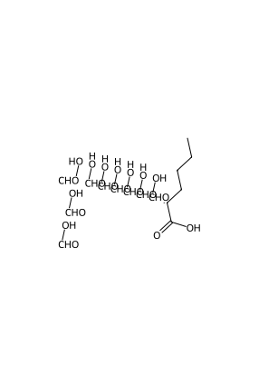 CCCC[CH]C(=O)O.O=CO.O=CO.O=CO.O=CO.O=CO.O=CO.O=CO.O=CO.O=CO